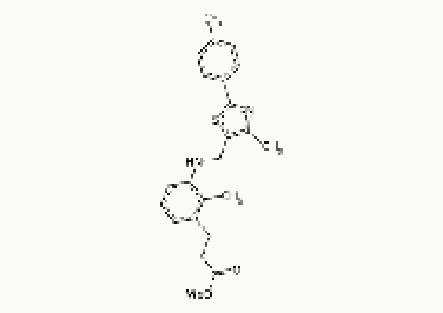 COC(=O)CCc1cccc(NCc2sc(-c3ccc(C(F)(F)F)cc3)nc2C)c1C